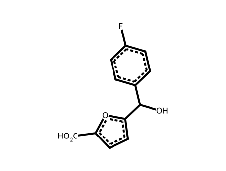 O=C(O)c1ccc(C(O)c2ccc(F)cc2)o1